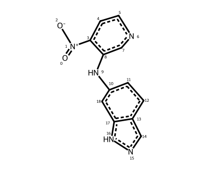 O=[N+]([O-])c1ccncc1Nc1ccc2cn[nH]c2c1